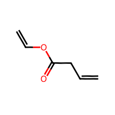 C=CCC(=O)OC=C